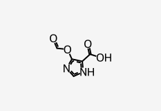 O=COc1nc[nH]c1C(=O)O